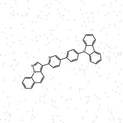 c1ccc2c(c1)ccc1c(-c3ccc(-c4ccc(-n5c6ccccc6c6ccccc65)cc4)cn3)cnn12